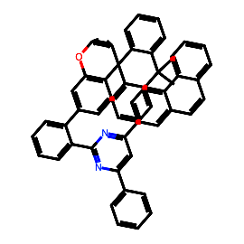 CC1(C)c2ccccc2C2(c3ccccc3Oc3cc(-c4ccccc4-c4nc(-c5ccccc5)cc(-c5ccc6c(ccc7ccccc76)c5)n4)ccc32)c2ccccc21